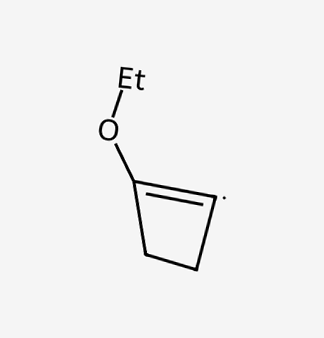 CCOC1=[C]CC1